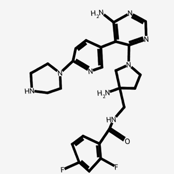 Nc1ncnc(N2CCC(N)(CNC(=O)c3ccc(F)cc3F)C2)c1-c1ccc(N2CCNCC2)nc1